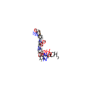 COc1cnc2cccc(C(O)C3(O)CCN(C[C@@H]4CN(c5ccc6c(c5)NC(=O)CS6)C(=O)O4)CC3)c2n1